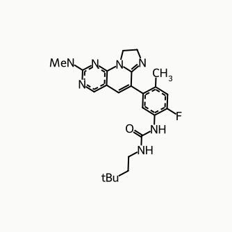 CNc1ncc2c(n1)N1CCN=C1C(c1cc(NC(=O)NCCC(C)(C)C)c(F)cc1C)=C2